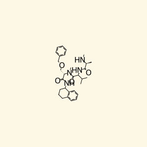 CN[C@@H](C)C(=O)N[C@H](C(=O)N(C)[C@@H](COCc1ccccc1)C(=O)NC1CCCc2ccccc21)C(C)C